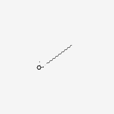 [CH2]CCCCCCCCCCCCCCCCCOOC(=O)c1ccccc1OCC